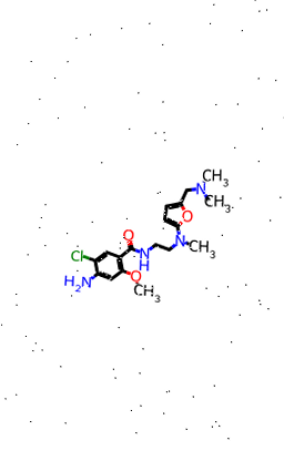 COc1cc(N)c(Cl)cc1C(=O)NCCN(C)c1ccc(CN(C)C)o1